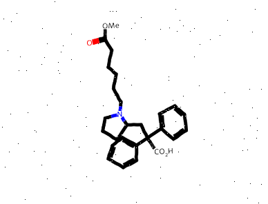 COC(=O)CCCCCN1CCCC1CC(C(=O)O)(c1ccccc1)c1ccccc1